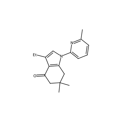 CCc1cn(-c2cccc(C)n2)c2c1C(=O)CC(C)(C)C2